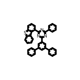 c1ccc(-c2cc(-c3ccccc3)cc(-c3nc(-c4ccccc4)nc(-c4cccc5sc6ccccc6c45)n3)c2)cc1